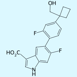 O=C(O)c1c[nH]c2cc(F)c(-c3ccc(C4(CO)CCC4)cc3F)cc12